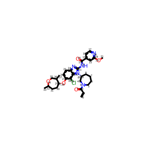 C=CC(=O)N1CCCC[C@@H](n2c(NC(=O)c3ccnc(OC)c3)nc3ccc(O[C@@H]4CCC(C)OCC4C)c(Cl)c32)C1